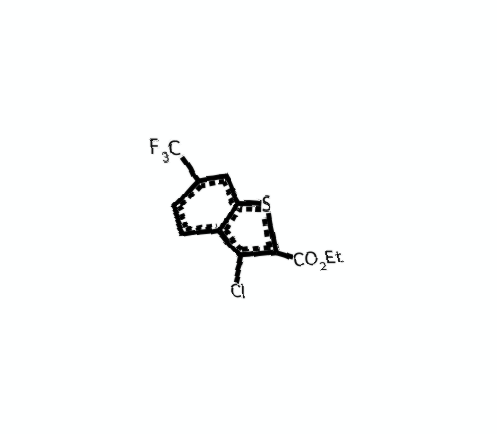 CCOC(=O)c1sc2cc(C(F)(F)F)ccc2c1Cl